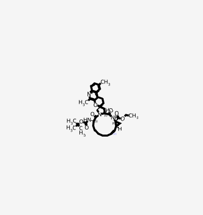 CCOC(=O)[C@@]12C[C@H]1/C=C\CCCCC[C@H](NC(=O)OC(C)(C)C)C(=O)N1C[C@@]3(CCc4c(c(C)nc5ccc(C)cc45)O3)C[C@H]1C(=O)N2